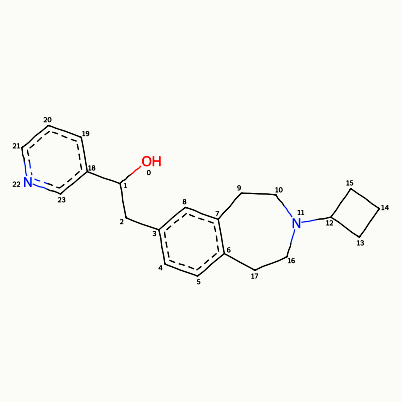 OC(Cc1ccc2c(c1)CCN(C1CCC1)CC2)c1cccnc1